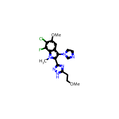 COCCc1nc(-c2c(-n3ccnc3)c3cc(OC)c(Cl)c(F)c3n2C)n[nH]1